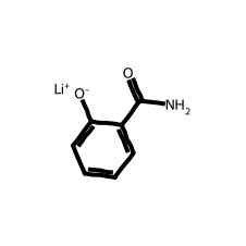 NC(=O)c1ccccc1[O-].[Li+]